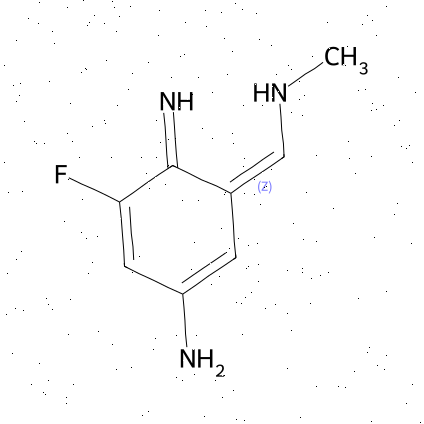 CN/C=C1/C=C(N)C=C(F)C1=N